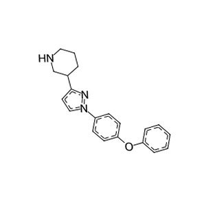 c1ccc(Oc2ccc(-n3ccc(C4CCCNC4)n3)cc2)cc1